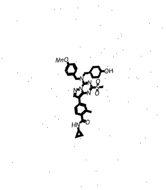 COc1ccc(CN(CC2CCC(O)CC2)c2nc(S(C)(=O)=O)nc3c(-c4ccc(C(=O)NC5CC5)c(C)c4)cnn23)cc1